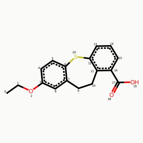 CCOc1ccc2c(c1)CCc1c(cccc1C(=O)O)S2